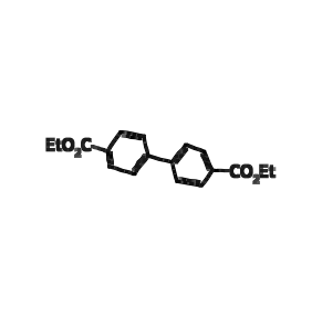 CCOC(=O)c1ccc(-c2ccc(C(=O)OCC)cc2)cc1